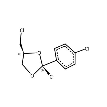 ClC[C@@H]1CO[C@@](Cl)(c2ccc(Cl)cc2)O1